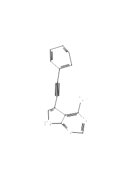 Nc1ncnc2[nH]cc(C#Cc3ccccc3)c12